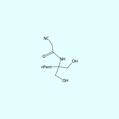 CCCCCC(CO)(CO)NC(=O)CC#N